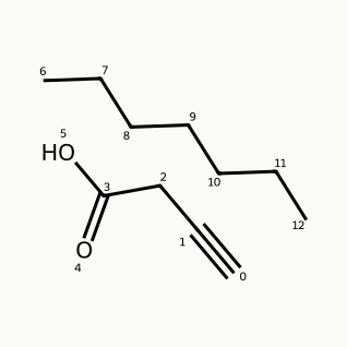 C#CCC(=O)O.CCCCCCC